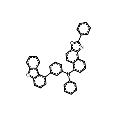 c1ccc(-c2nc3c(ccc4c(N(c5ccccc5)c5cccc(-c6cccc7oc8ccccc8c67)c5)cccc43)o2)cc1